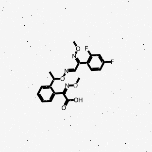 CON=C(C=NOC(C)c1ccccc1C(=NOC)C(=O)O)c1ccc(F)cc1F